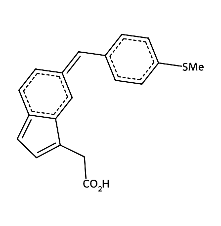 CSc1ccc(/C=c2/ccc3c(c2)C(CC(=O)O)=CC=3)cc1